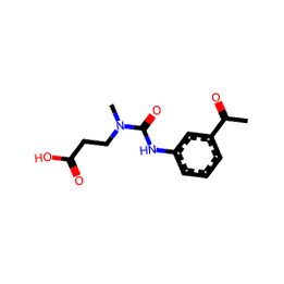 CC(=O)c1cccc(NC(=O)N(C)CCC(=O)O)c1